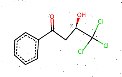 O=C(C[C@@H](O)C(Cl)(Cl)Cl)c1ccccc1